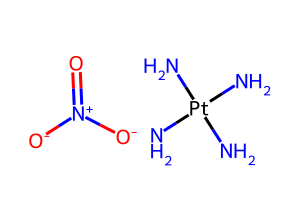 O=[N+]([O-])[O-].[NH2][Pt]([NH2])([NH2])[NH2]